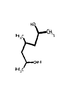 C[C](CC(C)O)CC(C)O